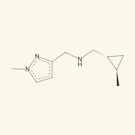 C[C@@H]1C[C@H]1CNCc1ccn(C)n1